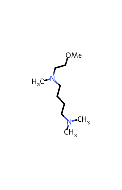 COCCN(C)CCCCN(C)C